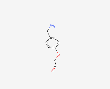 NCc1ccc(OC[C]=O)cc1